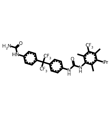 Cc1c(NC(=O)Nc2ccc(C(c3ccc(NC(N)=O)cc3)(C(F)(F)F)C(F)(F)F)cc2)c(C)c(C(F)(F)F)c(C)c1C(C)C